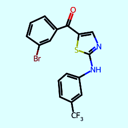 O=C(c1cccc(Br)c1)c1cnc(Nc2cccc(C(F)(F)F)c2)s1